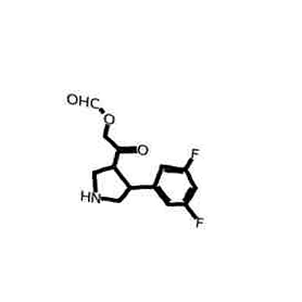 O=COCC(=O)C1CNCC1c1cc(F)cc(F)c1